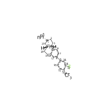 CCC[C@@H]1CC[C@@H]2c3ccc(-c4ccc(C(F)(F)F)c(F)c4)cc3CC[C@@H]2C1